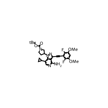 COc1cc(OC)c(F)c(C#Cc2nn(C3CCN(C(=O)OC(C)(C)C)C3)c3c(C4CC4)cnc(N)c23)c1F